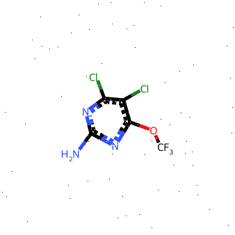 Nc1nc(Cl)c(Cl)c(OC(F)(F)F)n1